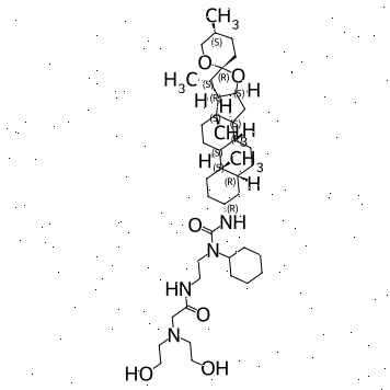 C[C@H]1CC[C@@]2(OC1)O[C@H]1C[C@H]3[C@@H]4CC[C@@H]5C[C@H](NC(=O)N(CCNC(=O)CN(CCO)CCO)C6CCCCC6)CC[C@]5(C)[C@H]4CC[C@]3(C)[C@H]1[C@@H]2C